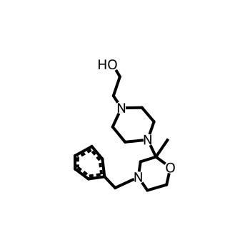 CC1(N2CCN(CCO)CC2)CN(Cc2ccccc2)CCO1